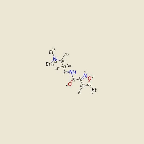 CCc1onc(C(=O)NCC(C)(C)C(C)N(CC)CC)c1C